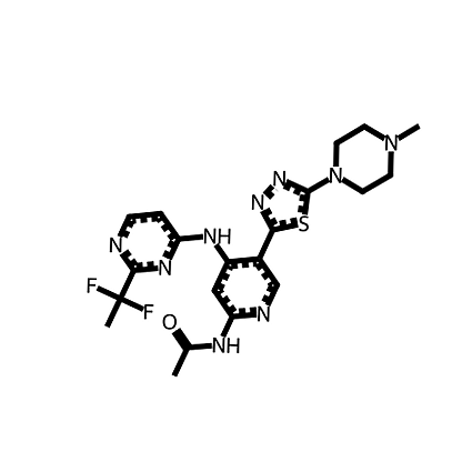 CC(=O)Nc1cc(Nc2ccnc(C(C)(F)F)n2)c(-c2nnc(N3CCN(C)CC3)s2)cn1